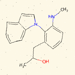 CNc1cccc(CC(C)O)c1-n1ccc2ccccc21